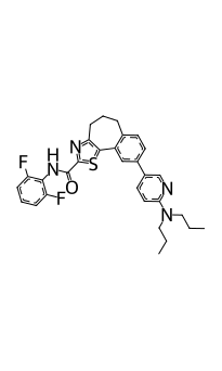 CCCN(CCC)c1ccc(-c2ccc3c(c2)-c2sc(C(=O)Nc4c(F)cccc4F)nc2CCC3)cn1